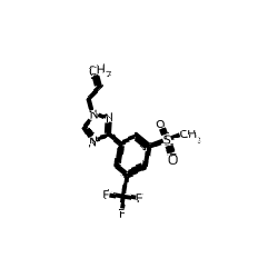 C=CCn1cnc(-c2cc(C(F)(F)F)cc(S(C)(=O)=O)c2)n1